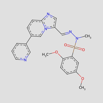 COc1ccc(OC)c(S(=O)(=O)N(C)N=Cc2cnc3ccc(-c4cccnc4)cn23)c1